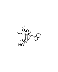 CCCC[C@H](NC(=O)[C@@H](CSC[C@H](CO)OCC)Cc1cccc2ccccc12)C(=O)OC(C)(C)C